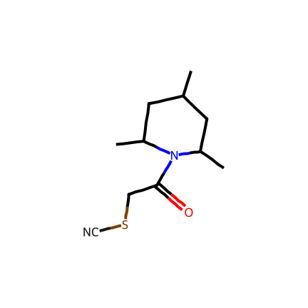 CC1CC(C)N(C(=O)CSC#N)C(C)C1